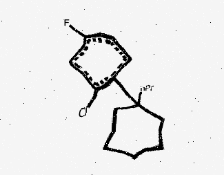 CCCC1(c2ccc(F)cc2Cl)CCCCC1